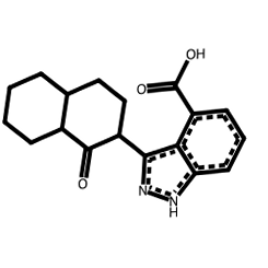 O=C(O)c1cccc2[nH]nc(C3CCC4CCCCC4C3=O)c12